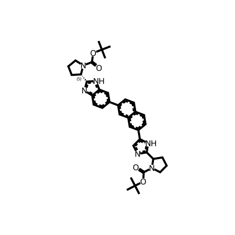 CC(C)(C)OC(=O)N1CCCC1c1ncc(-c2ccc3ccc(-c4ccc5nc([C@@H]6CCCN6C(=O)OC(C)(C)C)[nH]c5c4)cc3c2)[nH]1